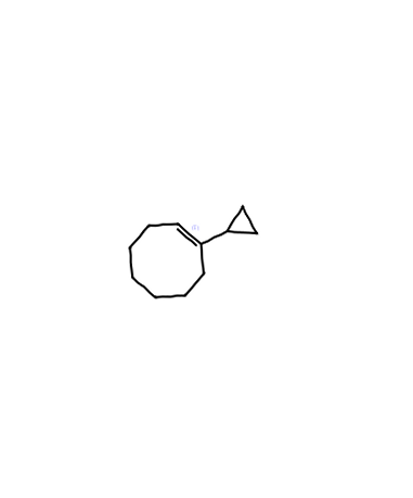 C1=C(/C2CC2)CCCCCC/1